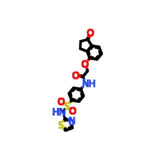 O=C(COc1cccc2c1CCC2=O)Nc1ccc(S(=O)(=O)Nc2nccs2)cc1